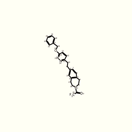 O=C(N1CCc2ccc(CCc3ccc(OCc4ccccc4)nn3)cc2CC1)C(F)(F)F